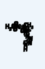 CN(C1CN(S(C)(=O)=O)C1)S(=O)(=O)N1CCN(c2ncnc3[nH]ccc23)CC12CC2